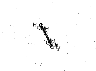 CSC(=O)NCC(F)COCCCCCNC(=O)COC(C)C